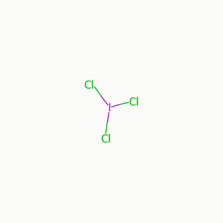 ClI(Cl)Cl